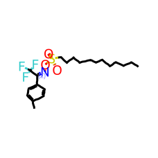 CCCCCCCCCCCCS(=O)(=O)O/N=C(/c1ccc(C)cc1)C(F)(F)F